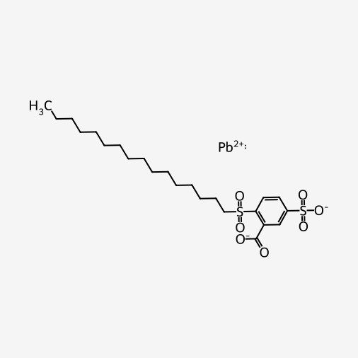 CCCCCCCCCCCCCCCCS(=O)(=O)c1ccc(S(=O)(=O)[O-])cc1C(=O)[O-].[Pb+2]